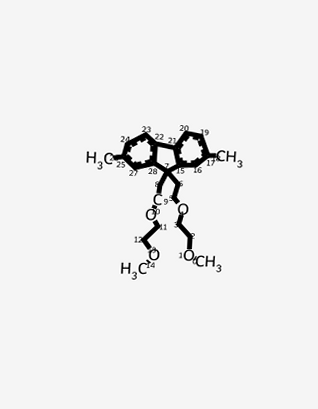 COCCOCCC1(CCOCCOC)c2cc(C)ccc2-c2ccc(C)cc21